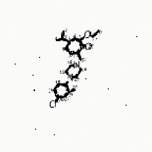 CCOc1cc(C(C)C)ccc(CN2CCN(c3ccc(Cl)cc3C)CC2)c1=O